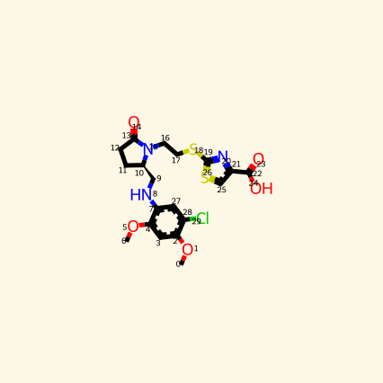 COc1cc(OC)c(NC[C@H]2CCC(=O)N2CCSc2nc(C(=O)O)cs2)cc1Cl